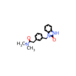 CN(C)C(=O)Cc1cccc(Cn2c(=O)[nH]c3ccccc32)c1